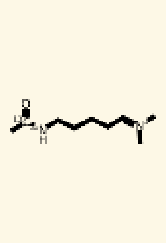 C[13C](=O)[15NH]CCCCC=[N+](C)C